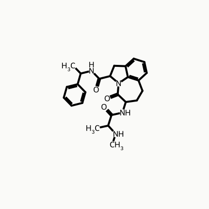 CNC(C)C(=O)NC1CCc2cccc3c2N(C1=O)C(C(=O)NC(C)c1ccccc1)C3